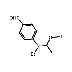 CCOC(C)N(CC)c1ccc(C=O)cc1